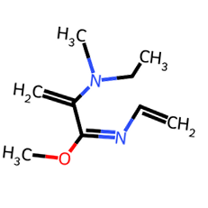 C=C/N=C(/OC)C(=C)N(C)CC